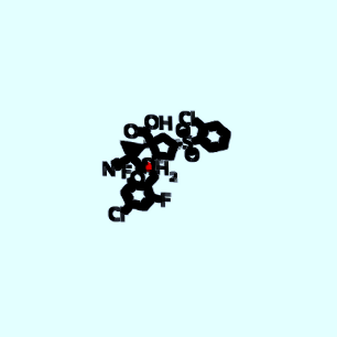 N#CC1(C(N)=O)CC1[C@@]1(C(=O)O)C[C@H](S(=O)(=O)c2ccccc2Cl)C[C@@H]1OCc1c(F)cc(Cl)cc1F